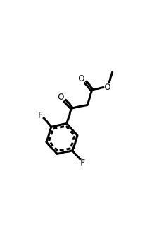 COC(=O)CC(=O)c1cc(F)ccc1F